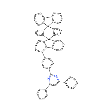 c1ccc(-c2cc(-c3ccccc3)nc(-c3ccc(-c4cccc5c4-c4ccccc4C54c5ccccc5C5(c6ccccc6-c6ccccc65)c5ccccc54)cc3)n2)cc1